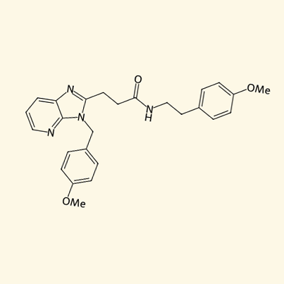 COc1ccc(CCNC(=O)CCc2nc3cccnc3n2Cc2ccc(OC)cc2)cc1